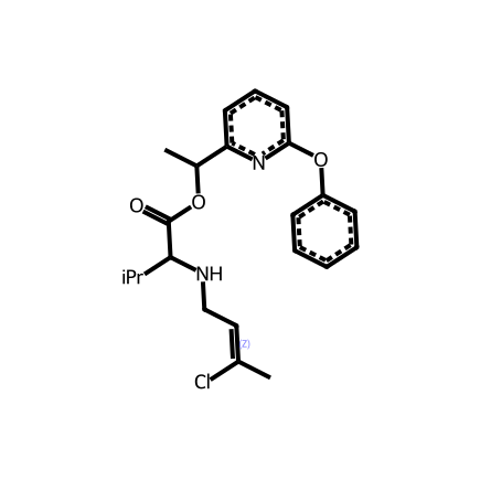 C/C(Cl)=C/CNC(C(=O)OC(C)c1cccc(Oc2ccccc2)n1)C(C)C